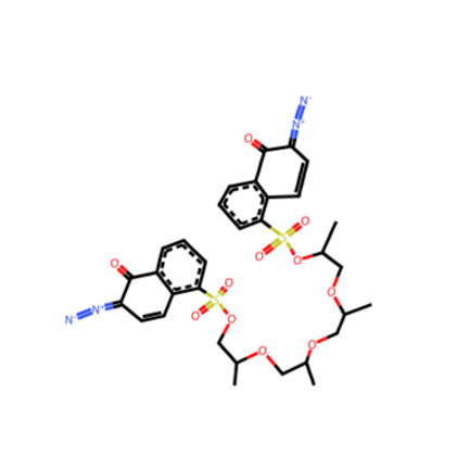 CC(COC(C)COS(=O)(=O)c1cccc2c1C=CC(=[N+]=[N-])C2=O)OCC(C)OCC(C)OS(=O)(=O)c1cccc2c1C=CC(=[N+]=[N-])C2=O